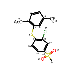 CC(=O)Oc1ccc(C(F)(F)F)cc1Sc1ccc(S(C)(=O)=O)cc1Cl